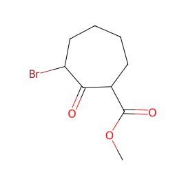 COC(=O)C1CCCCC(Br)C1=O